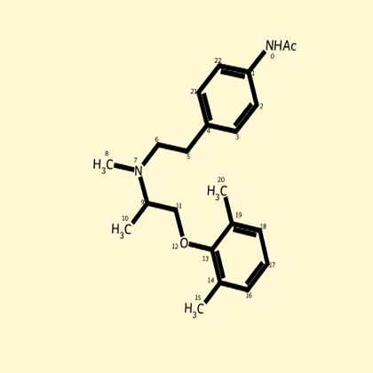 CC(=O)Nc1ccc(CCN(C)C(C)COc2c(C)cccc2C)cc1